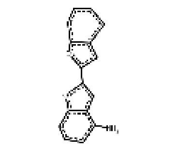 Nc1cccc2oc(-c3cc4ccccc4o3)cc12